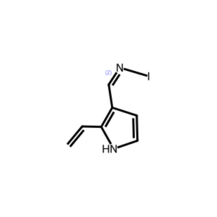 C=Cc1[nH]ccc1/C=N\I